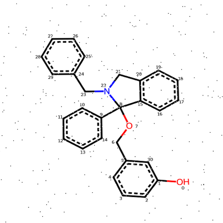 Oc1cccc(COC2(c3ccccc3)c3ccccc3CN2Cc2ccccc2)c1